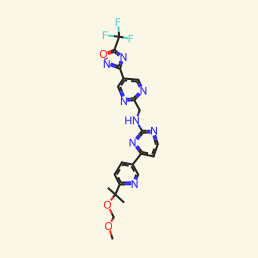 COCOC(C)(C)c1ccc(-c2ccnc(NCc3ncc(-c4noc(C(F)(F)F)n4)cn3)n2)cn1